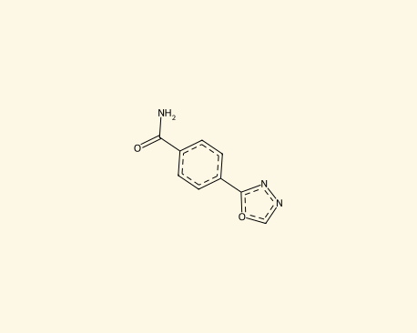 NC(=O)c1ccc(-c2nnco2)cc1